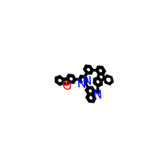 N#Cc1ccc2c(c1)C1(CCCCC1)c1cccc(-c3cccc(-c4cc(-c5ccc6c(c5)oc5ccccc56)nc(-c5ccc6ccccc6c5)n4)c3)c1-2